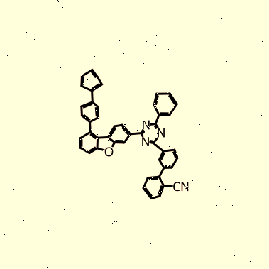 N#Cc1ccccc1-c1cccc(-c2nc(-c3ccccc3)nc(-c3ccc4c(c3)oc3cccc(-c5ccc(-c6ccccc6)cc5)c34)n2)c1